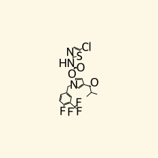 CC(C)C(=O)c1cc(OC(=O)Nc2ncc(Cl)s2)n(Cc2ccc(F)c(C(F)(F)F)c2)c1